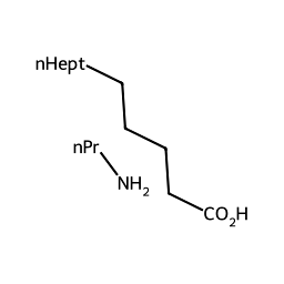 CCCCCCCCCCCC(=O)O.CCCN